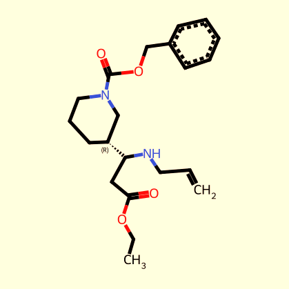 C=CCNC(CC(=O)OCC)[C@@H]1CCCN(C(=O)OCc2ccccc2)C1